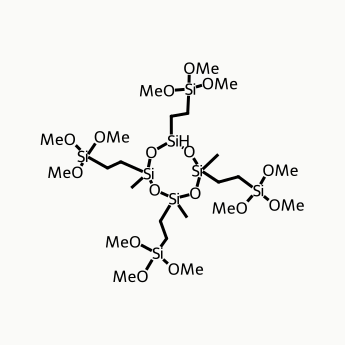 CO[Si](CC[SiH]1O[Si](C)(CC[Si](OC)(OC)OC)O[Si](C)(CC[Si](OC)(OC)OC)O[Si](C)(CC[Si](OC)(OC)OC)O1)(OC)OC